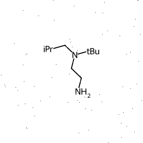 CC(C)CN(CCN)C(C)(C)C